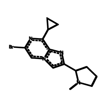 CN1CCCC1c1cn2cc(Br)nc(C3CC3)c2n1